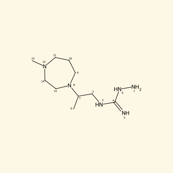 CC(CNC(=N)NN)N1CCCN(C)CC1